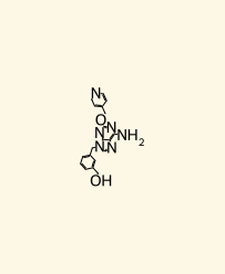 Nc1nc(OCc2ccncc2)nc2c1ncn2Cc1cccc(CO)c1